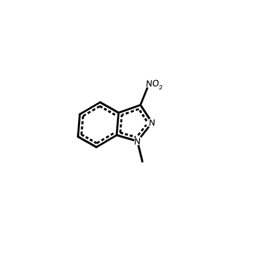 Cn1nc([N+](=O)[O-])c2ccccc21